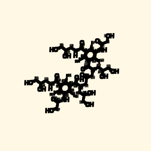 O=C(CO)Nc1c(I)c(C(=O)NCC(O)CO)c(I)c(C(=O)N(CC(O)CO)CC(O)CN(CC(O)CO)C(=O)c2c(I)c(NC(=O)CO)c(I)c(C(=O)NCC(O)CO)c2I)c1I